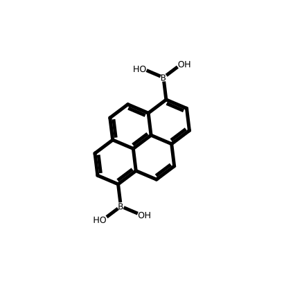 OB(O)c1ccc2ccc3c(B(O)O)ccc4ccc1c2c43